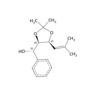 CC(C)=C[C@@H]1OC(C)(C)O[C@@H]1[C@@H](O)c1ccccc1